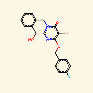 O=c1c(Br)c(OCc2ccc(F)cc2)ncn1Cc1ccccc1CO